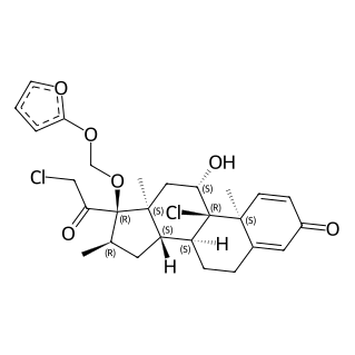 C[C@@H]1C[C@H]2[C@@H]3CCC4=CC(=O)C=C[C@]4(C)[C@@]3(Cl)[C@@H](O)C[C@]2(C)[C@@]1(OCOc1ccco1)C(=O)CCl